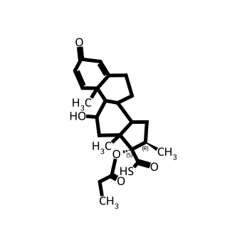 CCC(=O)O[C@@]1(C(=O)S)[C@H](C)CC2C3CCC4=CC(=O)C=CC4(C)C3C(O)CC21C